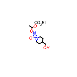 CCOC(=O)OC(C)ON=[N+]([O-])N1CCC(CO)CC1